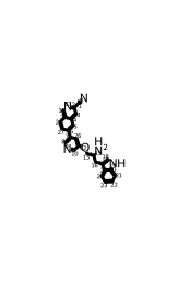 N#Cc1cc2cc(-c3cncc(OCC(N)Cc4c[nH]c5ccccc45)c3)ccc2cn1